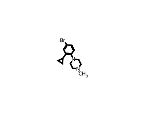 CN1CCN(c2ccc(Br)cc2C2CC2)CC1